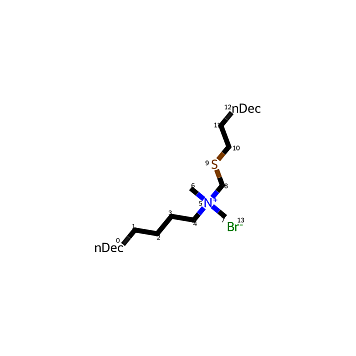 CCCCCCCCCCCCCC[N+](C)(C)CSCCCCCCCCCCCC.[Br-]